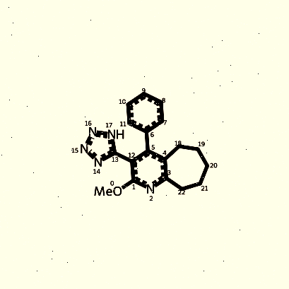 COc1nc2c(c(-c3ccccc3)c1-c1nnn[nH]1)CCCCC2